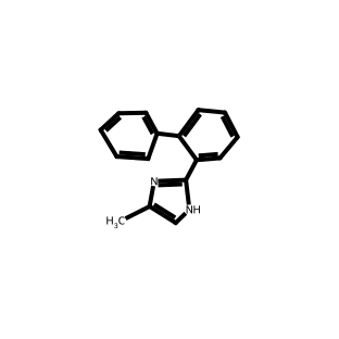 Cc1c[nH]c(-c2ccccc2-c2ccccc2)n1